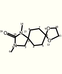 CN1CC2(CCC3(CC2)OCCO3)N(C)C1=O